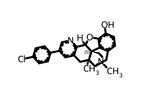 CN1CC[C@]23c4c5ccc(O)c4O[C@H]2c2ncc(-c4ccc(Cl)cc4)cc2C[C@@]3(C)C1C5